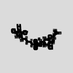 C[C@@H](NS(=O)(=O)CCCCCN1CC(=O)NC1=O)c1cc(Cl)c(F)c(OCC2CC2)c1